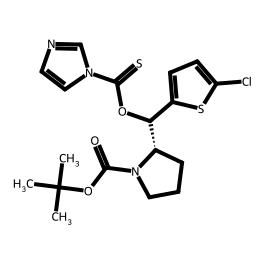 CC(C)(C)OC(=O)N1CCC[C@H]1C(OC(=S)n1ccnc1)c1ccc(Cl)s1